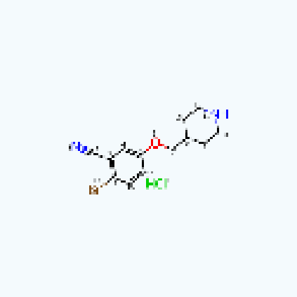 Cl.N#Cc1cc(OCC2CCNCC2)ccc1Br